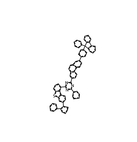 c1ccc(-c2nc(-c3ccc4c(ccc5cc(-c6ccc(C7(c8ccccc8)c8ccccc8-c8ccccc87)cc6)ccc54)c3)nc(-c3cccc4sc5cc(-c6ccccc6-c6ccccc6)ccc5c34)n2)cc1